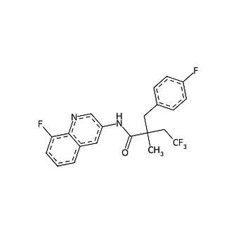 CC(Cc1ccc(F)cc1)(CC(F)(F)F)C(=O)Nc1cnc2c(F)cccc2c1